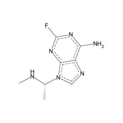 CN[C@@H](C)n1cnc2c(N)nc(F)nc21